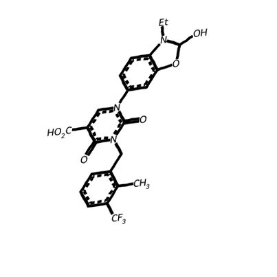 CCN1c2ccc(-n3cc(C(=O)O)c(=O)n(Cc4cccc(C(F)(F)F)c4C)c3=O)cc2OC1O